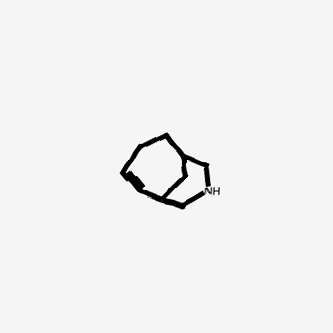 C1=CC2CNCC(CC1)C2